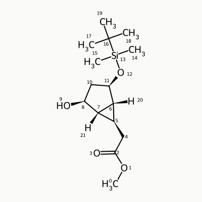 COC(=O)C[C@@H]1[C@@H]2[C@H]1[C@@H](O)C[C@H]2O[Si](C)(C)C(C)(C)C